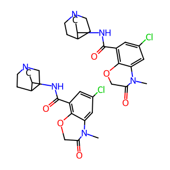 CN1C(=O)COc2c(C(=O)NC3CN4CCC3CC4)cc(Cl)cc21.CN1C(=O)COc2c(C(=O)NC3CN4CCC3CC4)cc(Cl)cc21